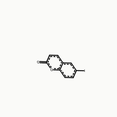 O=c1ccc2cc(I)ccc2o1